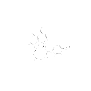 O=C1c2c(O)c(=O)ccn2N2CN1CCCCC2c1ccc(Cl)cc1